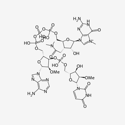 CO[C@@H]1[C@H](O)[C@@H](COP(=O)(O)O[C@H]2[C@@H](OC)[C@H](n3cnc4c(N)ncnc43)O[C@@H]2COP(=O)(O)OP(=O)(O)OP(=O)(O)OC[C@H]2O[C@@H](n3c[n+](C)c4c(=O)[nH]c(N)nc43)[C@H](O)[C@@H]2CC(=O)N(C)C)O[C@H]1n1ccc(=O)[nH]c1=O